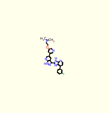 CN(C)CCOc1cncc(-c2cnc3[nH]nc(-c4nc5c(-c6cccc(F)c6)ccnc5[nH]4)c3c2)c1